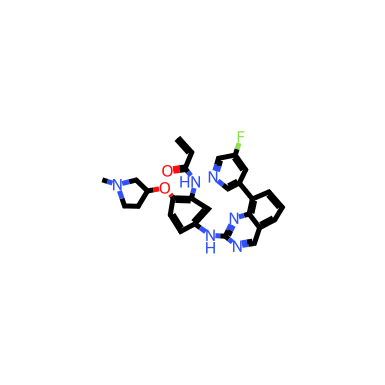 C=CC(=O)Nc1cc(Nc2ncc3cccc(-c4cncc(F)c4)c3n2)ccc1OC1CCN(C)C1